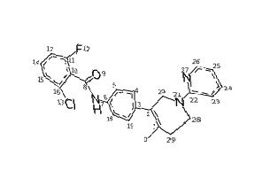 CC1=C(c2ccc(NC(=O)c3c(F)cccc3Cl)cc2)CN(c2ccccn2)CC1